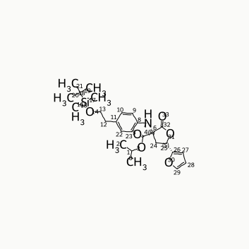 CC(C)OC(=O)[C@]1(Nc2ccc(CCO[Si](C)(C)C(C)(C)C)cc2)C[C@@H](c2ccco2)OC1=O